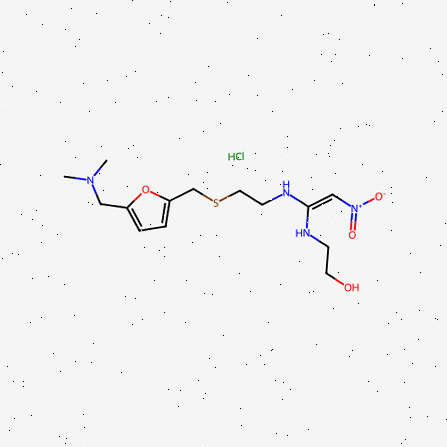 CN(C)Cc1ccc(CSCCN/C(=C/[N+](=O)[O-])NCCO)o1.Cl